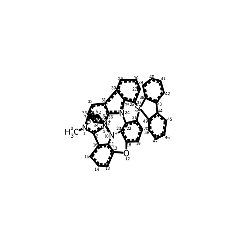 Cn1c2[n+](c3ccncc31)[N+]13c4c(cccc4-2)Oc2ccc4c(c21)-n1c2c(cccc2c2ccc[n+]3c21)[Si]41c2ccccc2-c2ccccc21